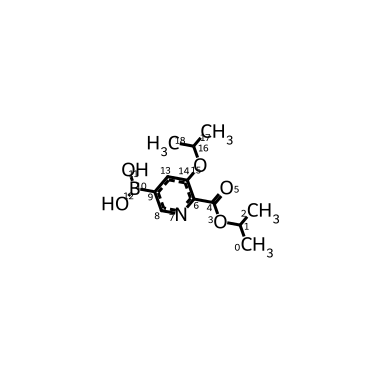 CC(C)OC(=O)c1ncc(B(O)O)cc1OC(C)C